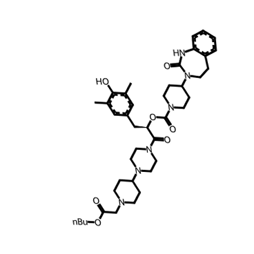 CCCCOC(=O)CN1CCC(N2CCN(C(=O)[C@@H](Cc3cc(C)c(O)c(C)c3)OC(=O)N3CCC(N4CCc5ccccc5NC4=O)CC3)CC2)CC1